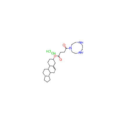 Cl.Cl.O=C(CCC(=O)N1CCNCCNCC1)OC1CCC2C(=CCC3C4CCCC4CCC23)C1